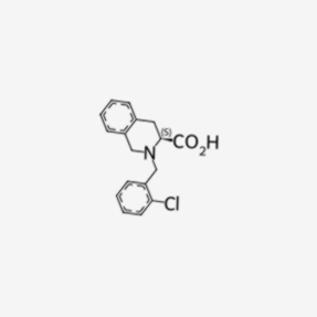 O=C(O)[C@@H]1Cc2ccccc2CN1Cc1ccccc1Cl